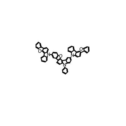 c1ccc(-n2c3ccc(-n4c5ccccc5c5c6oc7ccccc7c6ccc54)cc3c3c4oc5ccc(-n6c7ccccc7c7c8oc9ccccc9c8ccc76)cc5c4ccc32)cc1